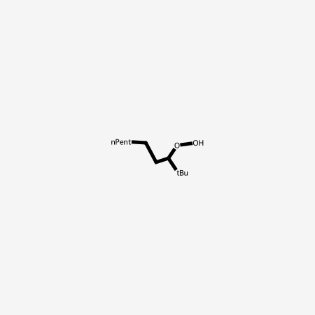 CCCCCCCC(OO)C(C)(C)C